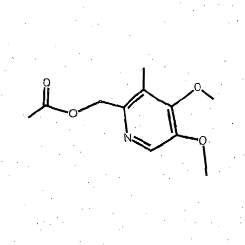 COc1cnc(COC(C)=O)c(C)c1OC